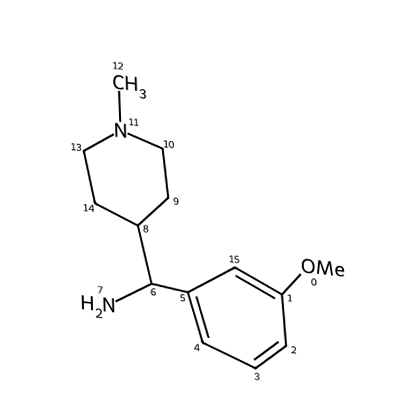 COc1cccc(C(N)C2CCN(C)CC2)c1